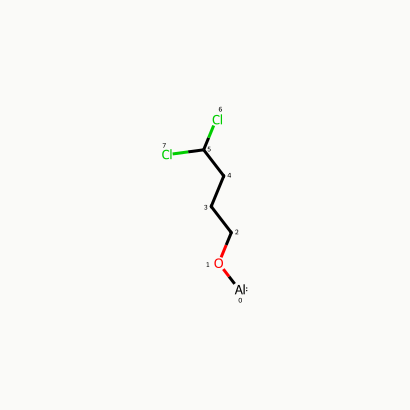 [Al][O]CCCC(Cl)Cl